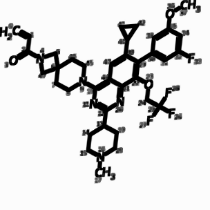 C=CC(=O)N1CC2(CCN(c3nc(C4CCN(C)CC4)nc4c(OCC(F)(F)F)c(-c5cc(F)cc(OC)c5)c(C5CC5)cc34)CC2)C1